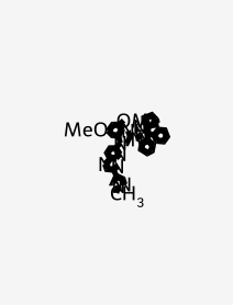 COc1cc(OC)cc(N(C/C(N)=N/N(N)C(c2ccccc2)(c2ccccc2)c2ccccc2)c2ccc3ncc(-c4cnn(C)c4)nc3n2)c1